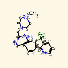 CN1CCN(CC2=N[CH]c3ccc(-c4ncccc4C(F)(F)F)cc3N2)CC1